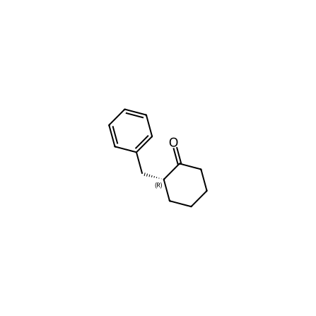 O=C1CCCC[C@@H]1Cc1ccccc1